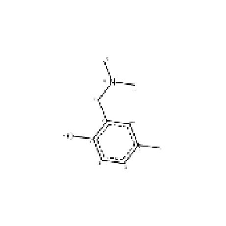 [CH2]c1ccc([O])c(CN(C)C)c1